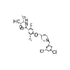 O=C(NC(C(=O)O)C1CC1)c1cc(C2CC2)c(OCC2CCN(Cc3cc(Cl)cc(Cl)c3)CC2)cc1F